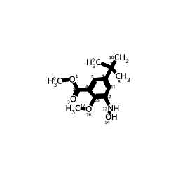 COC(=O)c1cc(C(C)(C)C)cc(NO)c1OC